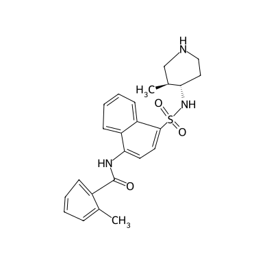 Cc1ccccc1C(=O)Nc1ccc(S(=O)(=O)N[C@H]2CCNC[C@@H]2C)c2ccccc12